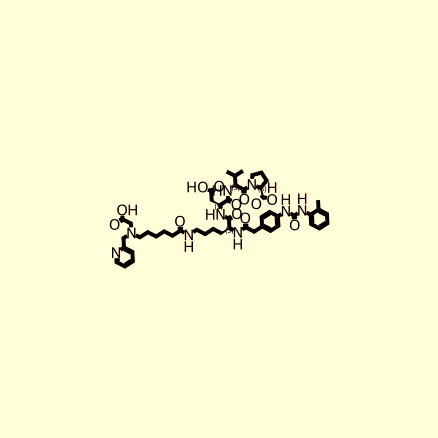 Cc1ccccc1NC(=O)Nc1ccc(CC(=O)N[C@@H](CCCCNC(=O)CCCCCN(CC(=O)O)Cc2ccccn2)C(=O)N[C@@H](CC(=O)O)C(=O)N[C@H](C(=O)N2CCC[C@H]2C(=O)O)C(C)C)cc1